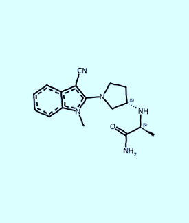 C[C@H](N[C@H]1CCN(c2c(C#N)c3ccccc3n2C)C1)C(N)=O